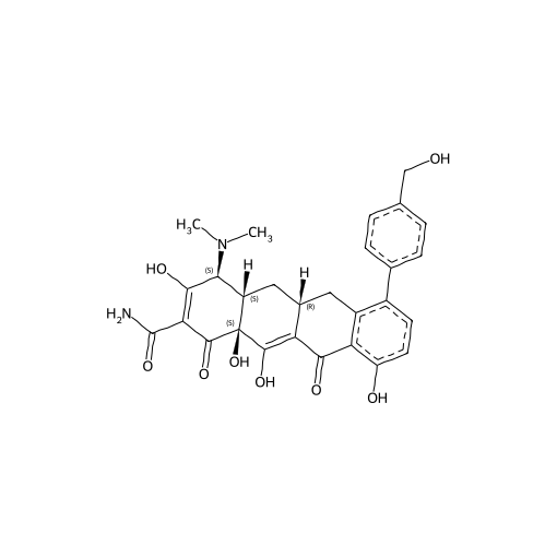 CN(C)[C@@H]1C(O)=C(C(N)=O)C(=O)[C@@]2(O)C(O)=C3C(=O)c4c(O)ccc(-c5ccc(CO)cc5)c4C[C@H]3C[C@@H]12